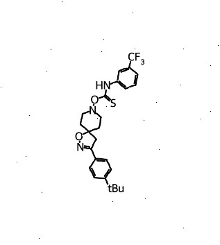 CC(C)(C)c1ccc(C2=NOC3(CCN(OC(=S)Nc4cccc(C(F)(F)F)c4)CC3)C2)cc1